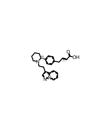 O=C(O)/C=C/Cc1ccc([C@@H]2CCCCN2CCc2cnn3ccccc23)cc1